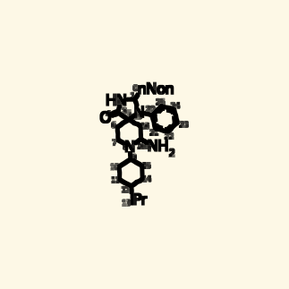 CCCCCCCCCC1NC(=O)C2(CCN(C3CCC(C(C)C)CC3)C(N)C2)N1c1ccccc1